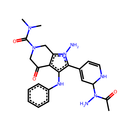 CC(=O)N(N)C1C=C(c2c(Nc3ccccc3)c3c(n2N)CN(C(=O)N(C)C)CC3=O)C=CN1